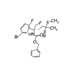 CSC(C)(C#N)CC[C@](CF)(NC(=O)OCc1ccccc1)c1cc(Br)ccc1F